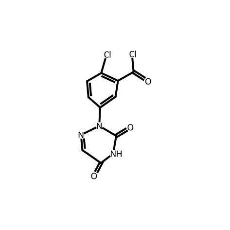 O=C(Cl)c1cc(-n2ncc(=O)[nH]c2=O)ccc1Cl